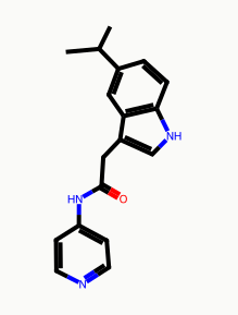 CC(C)c1ccc2[nH]cc(CC(=O)Nc3ccncc3)c2c1